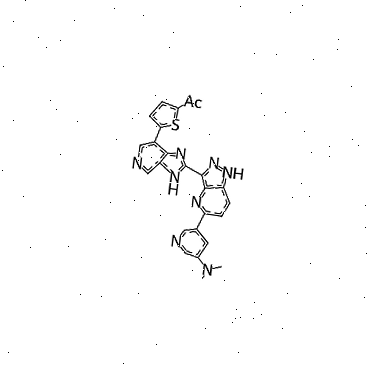 CC(=O)c1ccc(-c2cncc3[nH]c(-c4n[nH]c5ccc(-c6cncc(N(C)C)c6)nc45)nc23)s1